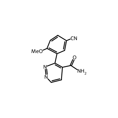 COc1ccc(C#N)cc1-c1nnccc1C(N)=O